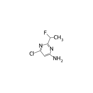 CC(F)c1nc(N)cc(Cl)n1